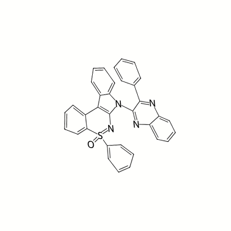 O=S1(c2ccccc2)=Nc2c(c3ccccc3n2-c2nc3ccccc3nc2-c2ccccc2)-c2ccccc21